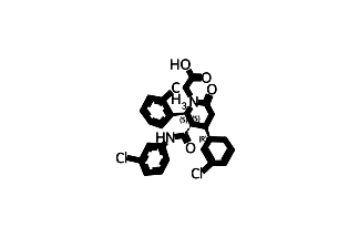 Cc1ccccc1[C@@H]1[C@@H](C(=O)Nc2cccc(Cl)c2)C([C@@H]2C=C(Cl)C=CC2)CC(=O)N1CC(=O)O